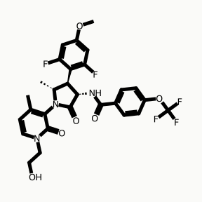 COc1cc(F)c([C@H]2[C@H](NC(=O)c3ccc(OC(F)(F)F)cc3)C(=O)N(c3c(C)ccn(CCO)c3=O)[C@@H]2C)c(F)c1